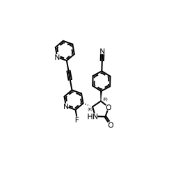 N#Cc1ccc([C@H]2OC(=O)N[C@@H]2c2cc(C#Cc3ccccn3)cnc2F)cc1